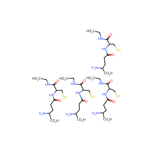 NC(CCC(=O)NC(CS)C(=O)NCC(=O)O)C(=O)O.NC(CCC(=O)NC(CS)C(=O)NCC(=O)O)C(=O)O.NC(CCC(=O)NC(CS)C(=O)NCC(=O)O)C(=O)O.NC(CCC(=O)NC(CS)C(=O)NCC(=O)O)C(=O)O